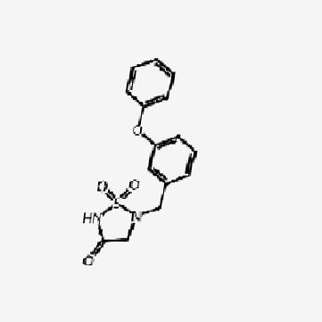 O=C1CN(Cc2cccc(Oc3ccccc3)c2)S(=O)(=O)N1